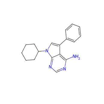 Nc1ncnc2c1c(-c1ccccc1)cn2C1CCCCC1